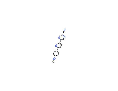 [C-]#[N+]c1ccc(-c2ccc(-c3cnc(C#N)cn3)cn2)cc1